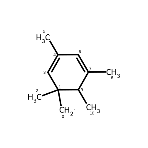 [CH2]C1(C)C=C(C)C=C(C)C1C